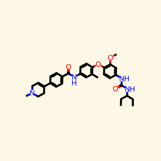 CCC(CC)NC(=O)Nc1ccc(Oc2ccc(NC(=O)c3ccc(C4=CCN(C)CC4)cc3)cc2C)c(OC)c1